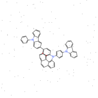 c1ccc(-n2c3ccccc3c3cc(-c4ccc(N(c5ccc(-n6c7ccccc7c7ccccc76)cc5)c5cccc6ccc7ccccc7c56)cc4)ccc32)cc1